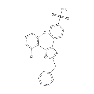 NS(=O)(=O)c1ccc(-c2nc(Cc3ccccc3)oc2-c2c(Cl)cccc2Cl)cc1